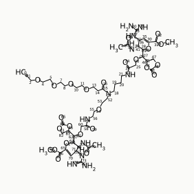 C#CCOCCOCCOCCOCCC(=O)N(CCCCNC(=O)CO[C@@H]([C@@H]1OC(C(=O)OC)=C[C@H](NC(=N)N)[C@H]1NC(C)=O)[C@H]1COC(=O)O1)CCOCCNC(=O)CO[C@@H]([C@@H]1OC(C(=O)OC)=C[C@H](NC(=N)N)[C@H]1NC(C)=O)[C@H]1COC(=O)O1